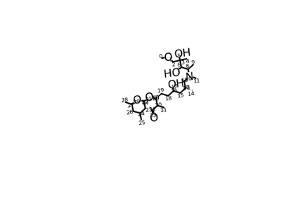 COCC(C)(O)C(O)C(C)N(C)C[C@H](C)CC(O)CC[C@H](O[C@H]1CC(C)CC(C)O1)C(C)C=O